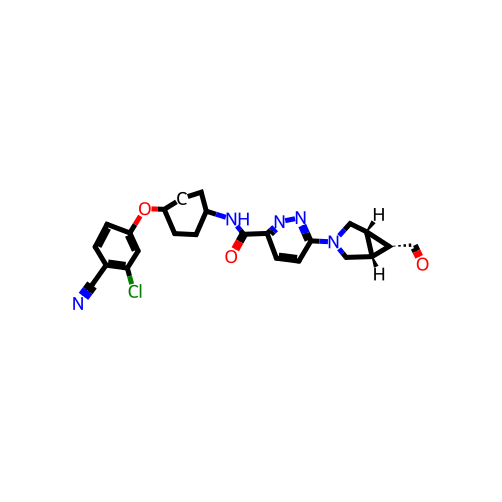 N#Cc1ccc(OC2CCC(NC(=O)c3ccc(N4C[C@@H]5[C@H](C=O)[C@@H]5C4)nn3)CC2)cc1Cl